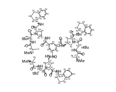 CN[C@@H](C)C(=O)N[C@H](C(=O)N1C[C@@H](NC(=O)c2cc(C(=O)N[C@H]3C[C@@H](C(=O)N[C@@H]4CCCc5ccccc54)N(C(=O)[C@@H](NC(=O)[C@H](C)NC)C(C)(C)C)C3)cc(C(=O)N[C@H]3C[C@@H](C(=O)N[C@@H]4CCCc5ccccc54)N(C(=O)[C@@H](NC(=O)[C@H](C)NC)C(C)(C)C)C3)c2)C[C@H]1C(=O)N[C@@H]1CCCc2ccccc21)C(C)(C)C